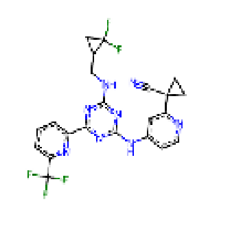 N#CC1(c2cc(Nc3nc(NCC4CC4(F)F)nc(-c4cccc(C(F)(F)F)n4)n3)ccn2)CC1